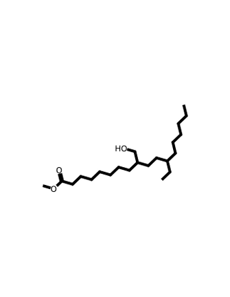 CCCCCCC(CC)CCC(CO)CCCCCCCC(=O)OC